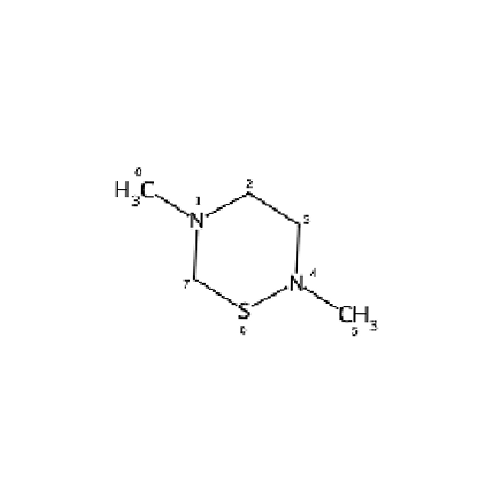 CN1CCN(C)SC1